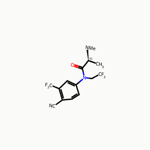 CN[C@@H](C)C(=O)N(CC(F)(F)F)c1ccc(C#N)c(C(F)(F)F)c1